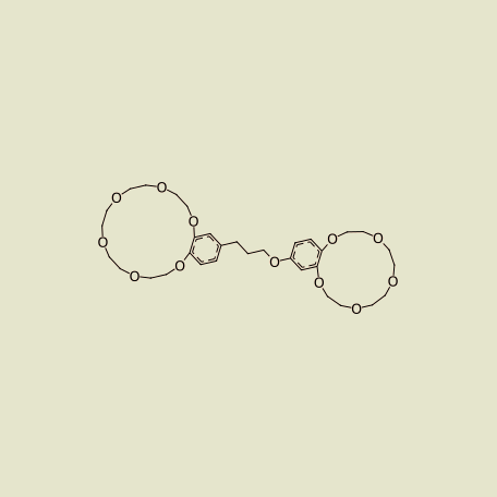 c1cc2c(cc1CCCOc1ccc3c(c1)OCCOCCOCCOCCO3)OCCOCCOCCOCCOCCO2